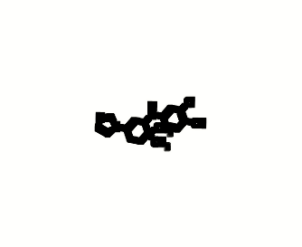 CC1(C)CCC(n2ccnc2)=CC1Nc1ccc(C#N)c(Cl)c1